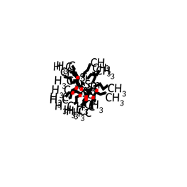 CCCC[Si](CCCC)(CCCC)[C]([Sm][C]([Si](CCCC)(CCCC)CCCC)([Si](CCCC)(CCCC)CCCC)[Si](CCCC)(CCCC)CCCC)([Si](CCCC)(CCCC)CCCC)[Si](CCCC)(CCCC)CCCC